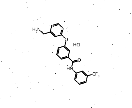 Cl.NCc1ccnc(Oc2cccc(C(=O)Nc3cccc(C(F)(F)F)c3)c2)c1